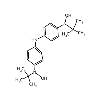 CC(C)(C)N(O)c1ccc(Nc2ccc(N(O)C(C)(C)C)cc2)cc1